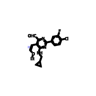 CCO/C=C\c1c(C=O)nc(-c2ccc(Cl)c(F)c2)nc1NCC1CC1